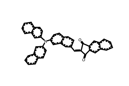 O=C1C(=Cc2ccc3ccc(N(c4ccc5ccccc5c4)c4ccc5ccccc5c4)cc3c2)C(=O)c2cc3ccccc3cc21